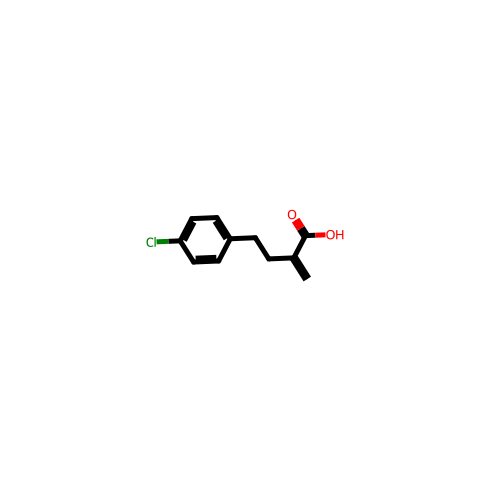 C=C(CCc1ccc(Cl)cc1)C(=O)O